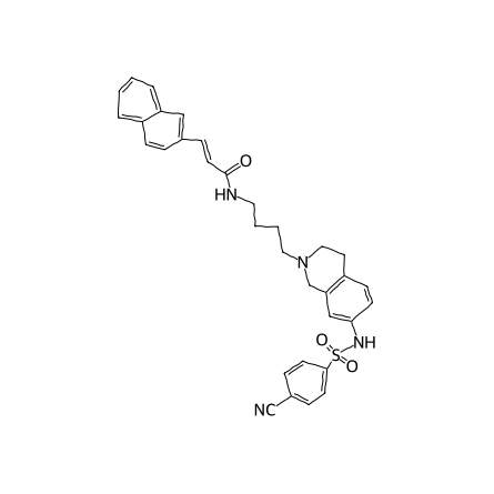 N#Cc1ccc(S(=O)(=O)Nc2ccc3c(c2)CN(CCCCNC(=O)/C=C/c2ccc4ccccc4c2)CC3)cc1